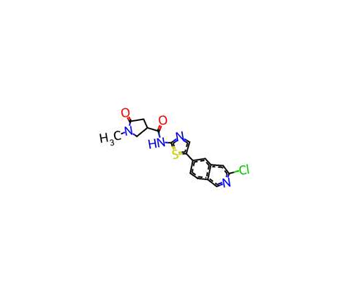 CN1CC(C(=O)Nc2ncc(-c3ccc4cnc(Cl)cc4c3)s2)CC1=O